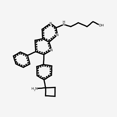 NC1(c2ccc(-c3nc4nc(NCCCCO)ncc4cc3-c3ccccc3)cc2)CCC1